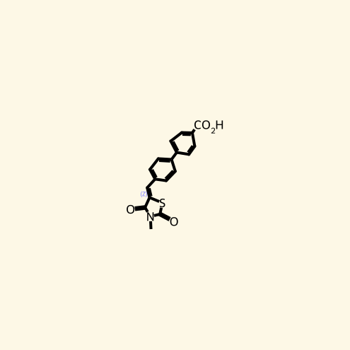 CN1C(=O)S/C(=C\c2ccc(-c3ccc(C(=O)O)cc3)cc2)C1=O